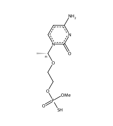 COP(=O)(S)OCCO[C@H](C)n1ccc(N)nc1=O